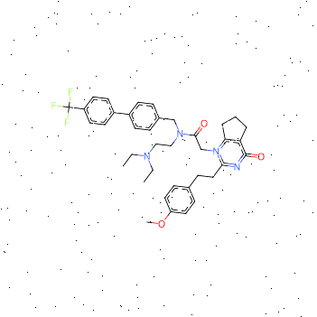 CCN(CC)CCN(Cc1ccc(-c2ccc(C(F)(F)F)cc2)cc1)C(=O)Cn1c(CCc2ccc(OC)cc2)nc(=O)c2c1CCC2